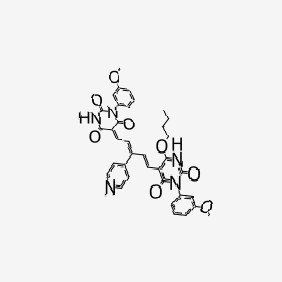 CCCCOc1[nH]c(=O)n(-c2cccc(OC)c2)c(=O)c1C=CC(=C/C=C1/C(=O)NC(=O)N(c2cccc(OC)c2)C1=O)c1ccncc1